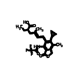 CCC(C/C(C)=C/Cc1c(NC(=O)C(F)(F)F)c2c(c(C)c1C1CC1)COC2=O)C(=O)O